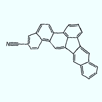 N#Cc1ccc2c(ccc3c4cccc5c4c(cc23)-c2cc3ccccc3cc2-5)c1